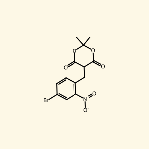 CC1(C)OC(=O)C(Cc2ccc(Br)cc2[N+](=O)[O-])C(=O)O1